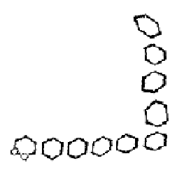 C1CCCCC1.C1CCCCC1.C1CCCCC1.C1CCCCC1.C1CCCCC1.C1CCCCC1.C1CCCCC1.C1CCCCC1.C1CCCCC1.C1CCOOC1